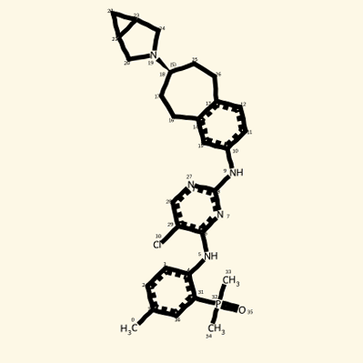 Cc1ccc(Nc2nc(Nc3ccc4c(c3)CC[C@@H](N3CC5CC5C3)CC4)ncc2Cl)c(P(C)(C)=O)c1